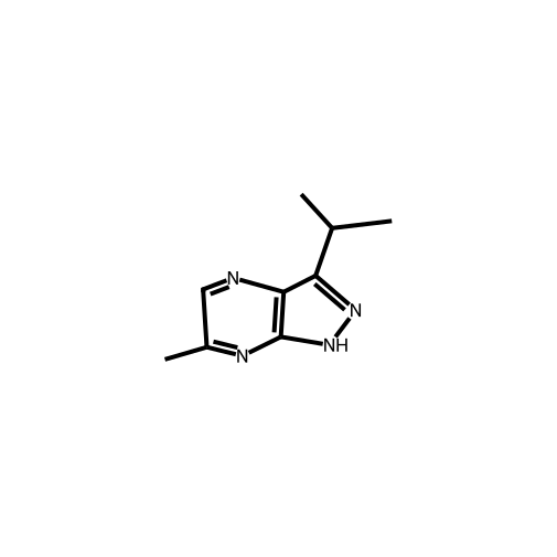 Cc1cnc2c(C(C)C)n[nH]c2n1